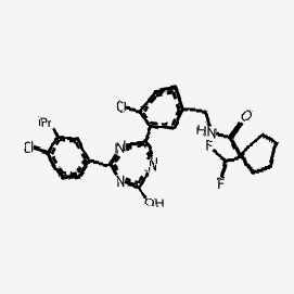 CC(C)c1cc(-c2nc(O)nc(-c3cc(CNC(=O)C4(C(F)F)CCCC4)ccc3Cl)n2)ccc1Cl